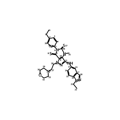 CCc1ccc(-n2c(=S)c3c(c(Nc4ccc5c(cnn5CC)c4)nn3CCN3CCOCC3)n(C)c2=S)nc1